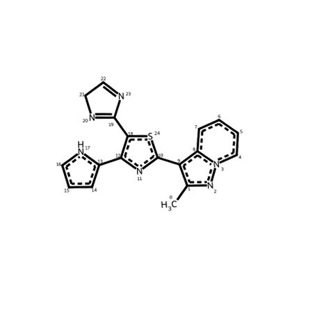 Cc1nn2ccccc2c1-c1nc(-c2ccc[nH]2)c(C2=NCC=N2)s1